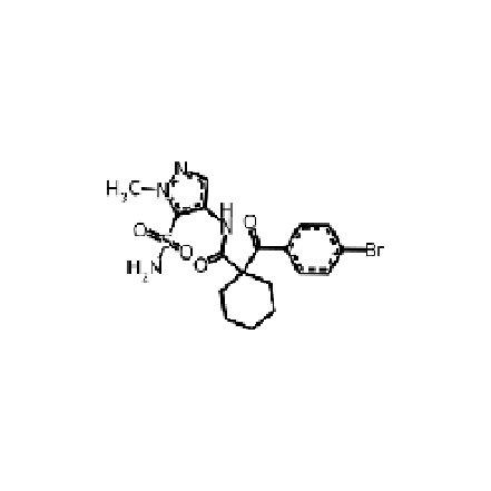 Cn1ncc(NC(=O)C2(C(=O)c3ccc(Br)cc3)CCCCC2)c1S(N)(=O)=O